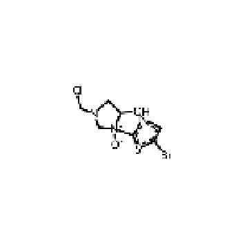 [O-][N+]1(c2ncc(Br)s2)CN(CCl)CC1O